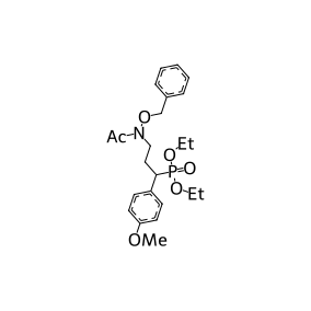 CCOP(=O)(OCC)C(CCN(OCc1ccccc1)C(C)=O)c1ccc(OC)cc1